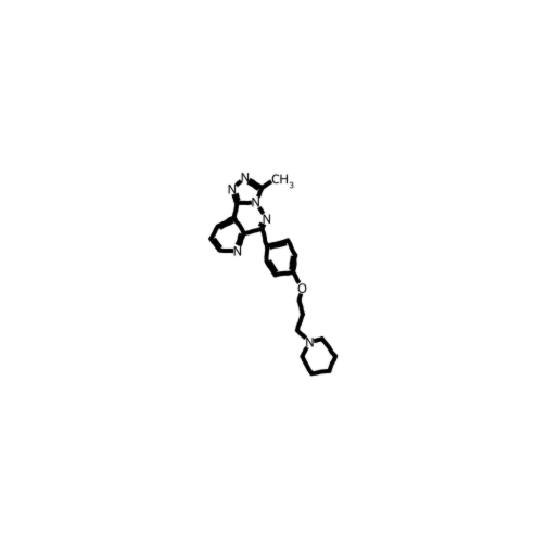 Cc1nnc2c3cccnc3c(-c3ccc(OCCCN4CCCCC4)cc3)nn12